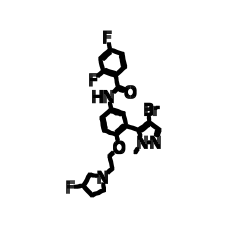 Cn1ncc(Br)c1-c1cc(NC(=O)c2ccc(F)cc2F)ccc1OCCN1CCC(F)C1